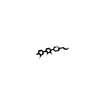 CCCC1CCC(c2ccc(-c3ccc(C)c(F)c3)c(F)c2F)CO1